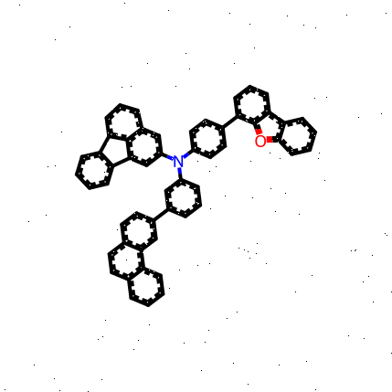 c1cc(-c2ccc3ccc4ccccc4c3c2)cc(N(c2ccc(-c3cccc4c3oc3ccccc34)cc2)c2cc3c4c(cccc4c2)-c2ccccc2-3)c1